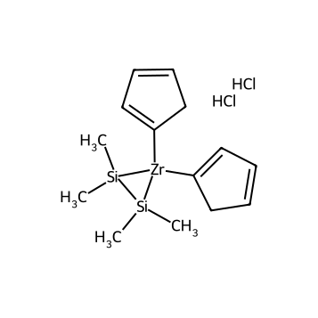 C[Si]1(C)[Si](C)(C)[Zr]1([C]1=CC=CC1)[C]1=CC=CC1.Cl.Cl